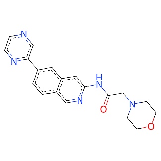 O=C(CN1CCOCC1)Nc1cc2cc(-c3cnccn3)ccc2cn1